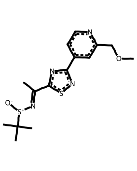 COCc1cc(-c2nsc(C(C)=N[S+]([O-])C(C)(C)C)n2)ccn1